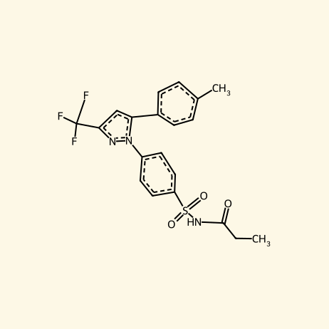 CCC(=O)NS(=O)(=O)c1ccc(-n2nc(C(F)(F)F)cc2-c2ccc(C)cc2)cc1